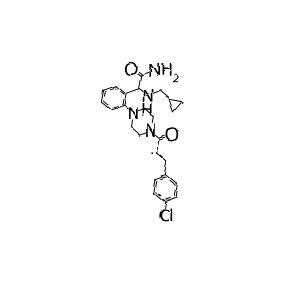 NC(=O)C(NCC1CC1)c1ccccc1N1CCN(C(=O)[CH]Cc2ccc(Cl)cc2)CC1